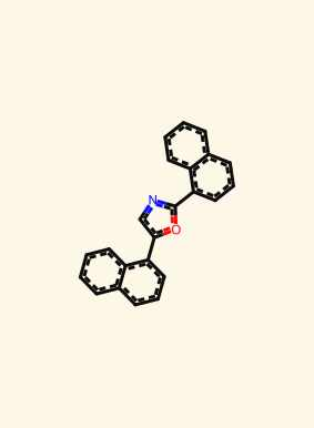 c1ccc2c(-c3cnc(-c4cccc5ccccc45)o3)cccc2c1